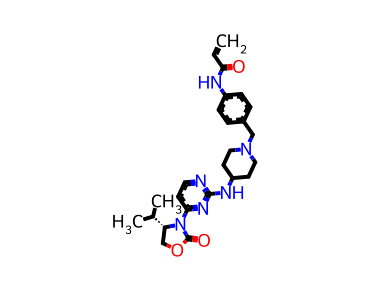 C=CC(=O)Nc1ccc(CN2CCC(Nc3nccc(N4C(=O)OC[C@@H]4C(C)C)n3)CC2)cc1